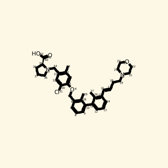 Cc1cc(OCc2cccc(-c3cccc(/C=C/CCN4CCOCC4)c3C)c2C)c(Cl)cc1CN1CCC[C@H]1C(=O)O